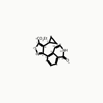 CCOC(=O)c1snc(-c2cccc3c(=O)[nH]ccc23)c1C1CC1